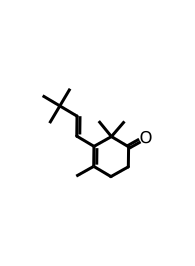 CC1=C(/C=C/C(C)(C)C)C(C)(C)C(=O)CC1